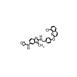 Cn1c(NCc2ccc(Oc3ccc4cccc(Cl)c4n3)cc2)nc2ccc(NC3COC3)cc21